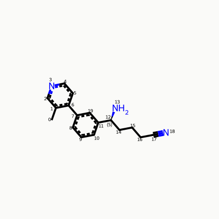 Cc1cnccc1-c1cccc([C@@H](N)CCCC#N)c1